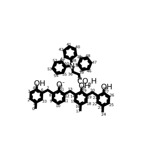 Cc1ccc(O)c(Cc2cccc(Cc3cc(C)cc(Cc4cc(C)ccc4O)c3O)c2[O-])c1.O=C(O)CC[N+](c1ccccc1)(c1ccccc1)c1ccccc1